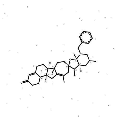 CC1=C2C[C@H]3[C@@H](CCC4=CC(=O)CC[C@@]43C)[C@@H]2CC[C@@]2(C1)O[C@H]1[C@@H](C[C@H](C)CN1Cc1ccccc1)[C@H]2C